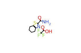 NC(=O)c1nc2c(s1)CCCC2.O=C(O)C(F)(F)F